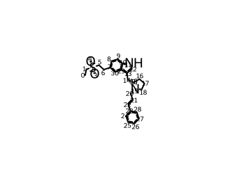 CCS(=O)(=O)CCc1ccc2[nH]cc(C[C@H]3CCCN3CC=Cc3ccccc3)c2c1